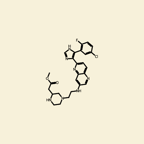 COC(=O)CC1CN(CCNc2cnc3ccc(-c4nc[nH]c4-c4cc(Cl)ccc4F)nc3c2)CCN1